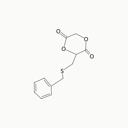 O=C1COC(=O)C(CSCc2ccccc2)O1